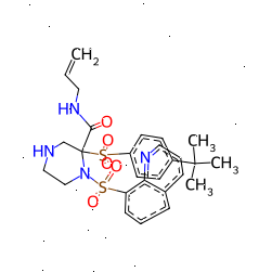 C=CCNC(=O)C1(S(=O)(=O)c2ccc(C(C)(C)C)cc2)CNCCN1S(=O)(=O)c1cccc2cccnc12